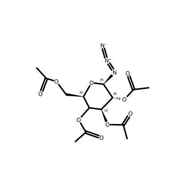 CC(=O)OC[C@H]1O[C@@H](N=[N+]=[N-])[C@H](OC(C)=O)[C@@H](OC(C)=O)C1OC(C)=O